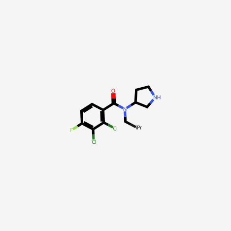 CC(C)CN(C(=O)c1ccc(F)c(Cl)c1Cl)C1CCNC1